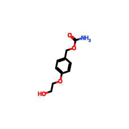 NC(=O)OCc1ccc(OCCO)cc1